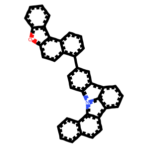 c1ccc2c(c1)ccc1c3cccc4c5cc(-c6cccc7c6ccc6oc8ccccc8c67)ccc5n(c21)c43